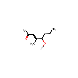 CCCC(OC)C(C)=CC(C)=O